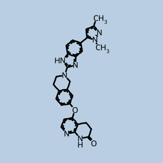 Cc1cc(-c2ccc3[nH]c(N4CCc5ccc(Oc6ccnc7c6CCC(=O)N7)cc5C4)nc3c2)n(C)n1